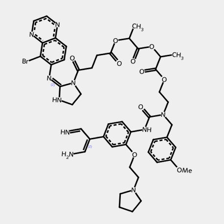 COc1cccc(CN(CCOC(=O)C(C)OC(=O)C(C)OC(=O)CCC(=O)N2CCN/C2=N/c2ccc3nccnc3c2Br)C(=O)Nc2ccc(/C(C=N)=C/N)cc2OCCN2CCCC2)c1